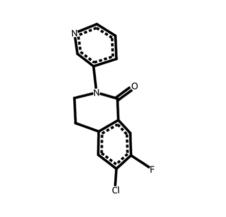 O=C1c2cc(F)c(Cl)cc2CCN1c1cccnc1